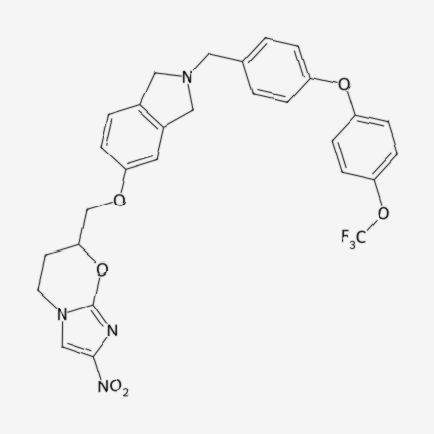 O=[N+]([O-])c1cn2c(n1)OC(COc1ccc3c(c1)CN(Cc1ccc(Oc4ccc(OC(F)(F)F)cc4)cc1)C3)CC2